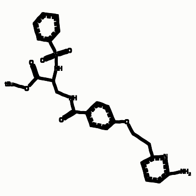 CC(C)(C)OC(=O)C(CNC(=O)c1ccc(OCCc2cccc(N)n2)cc1)NS(=O)(=O)c1ccccc1